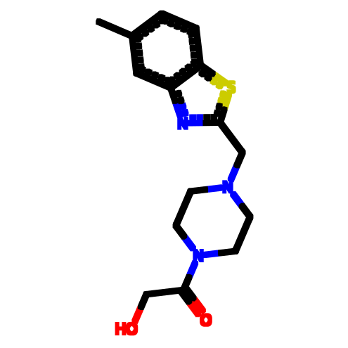 Cc1ccc2sc(CN3CCN(C(=O)CO)CC3)nc2c1